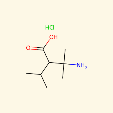 CC(C)C(C(=O)O)C(C)(C)N.Cl